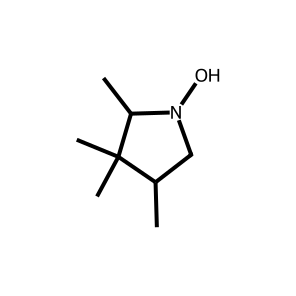 CC1CN(O)C(C)C1(C)C